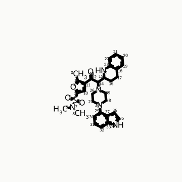 Cc1oc(S(=O)(=O)N(C)C)cc1C(=O)C(C1CCc2ccccc2N1)N1CCN(c2cccc3[nH]ccc23)CC1